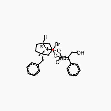 CCCCOC(Br)N1[C@@H]2CC[C@@]1(Cc1ccccc1)C[C@@H](OC(=O)C(CO)c1ccccc1)C2